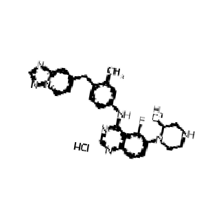 Cc1cc(Nc2ncnc3ccc(N4CCNCC4C)c(F)c23)ccc1Cc1ccn2ncnc2c1.Cl